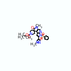 CN1C(=O)C2(CCN(C(=O)OC(C)(C)C)CC2)c2c1cnc1c2cc(-c2cnn(C)c2)n1S(=O)(=O)c1ccccc1